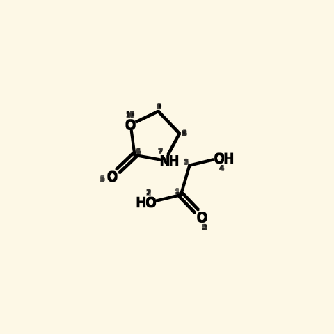 O=C(O)CO.O=C1NCCO1